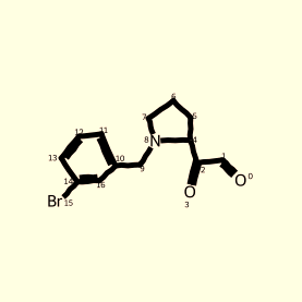 O=CC(=O)C1CCCN1Cc1cccc(Br)c1